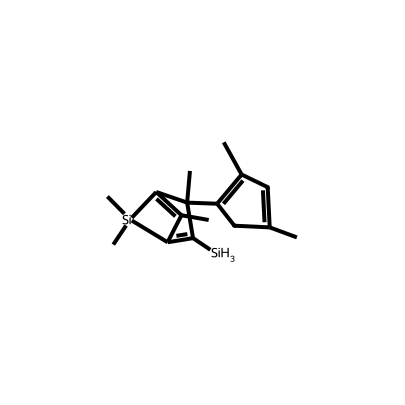 CC1=CC(C)=C(C2(C)C([SiH3])=C3C(C)=C2[Si]3(C)C)C1